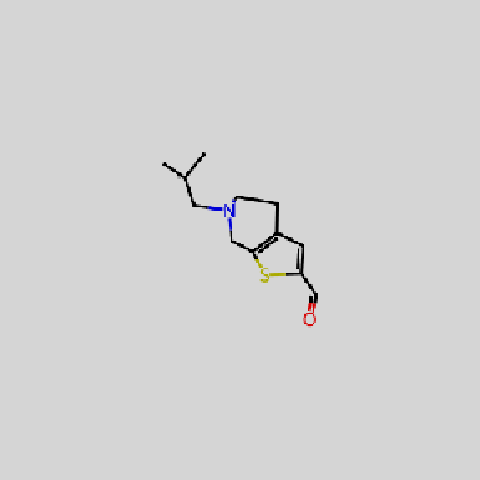 C[C](C)CN1CCc2cc(C=O)sc2C1